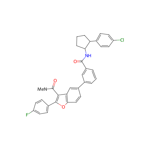 CNC(=O)c1c(-c2ccc(F)cc2)oc2ccc(-c3cccc(C(=O)NC4CCCC4c4ccc(Cl)cc4)c3)cc12